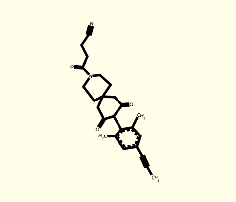 CC#Cc1cc(C)c(C2C(=O)CC3(CCN(C(=O)CCC#N)CC3)CC2=O)c(C)c1